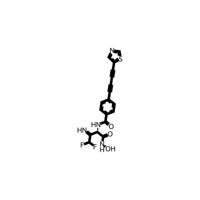 N=C(C(F)F)[C@H](NC(=O)c1ccc(C#CC#Cc2cncs2)cc1)C(=O)NO